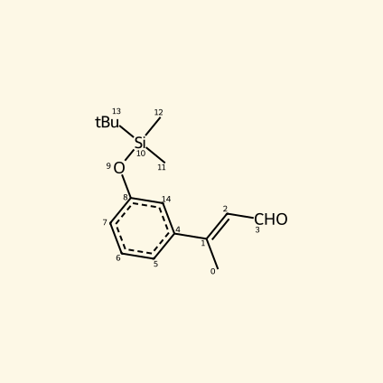 CC(=CC=O)c1cccc(O[Si](C)(C)C(C)(C)C)c1